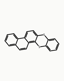 c1ccc2c(c1)Sc1ccc3c(ccc4ccccc43)c1S2